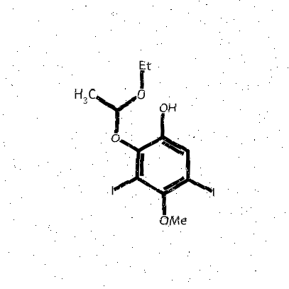 CCOC(C)Oc1c(O)cc(I)c(OC)c1I